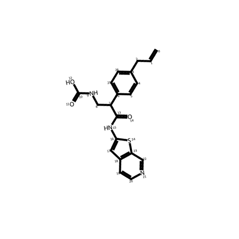 C=CCc1ccc(C(CNC(=O)O)C(=O)Nc2cc3ccncc3s2)cc1